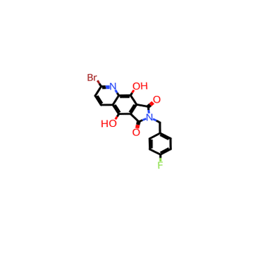 O=C1c2c(c(O)c3nc(Br)ccc3c2O)C(=O)N1Cc1ccc(F)cc1